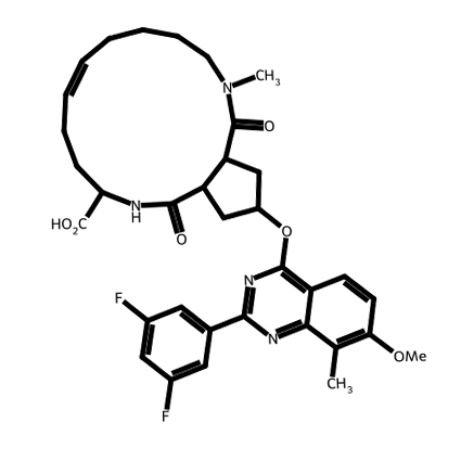 COc1ccc2c(OC3CC4C(=O)NC(C(=O)O)CCC=CCCCCN(C)C(=O)C4C3)nc(-c3cc(F)cc(F)c3)nc2c1C